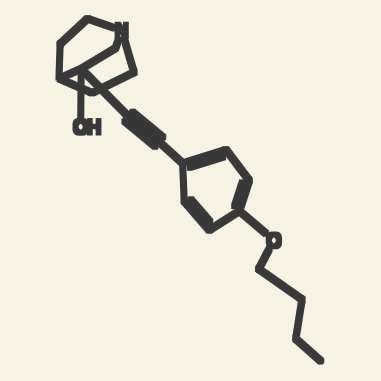 CCCCOc1ccc(C#CC2(O)CN3CCC2CC3)cc1